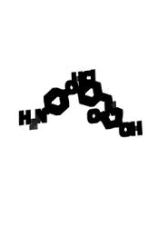 Cl.Nc1ccc(Oc2ccc(CN3CC(O)CC3=O)cc2)cc1